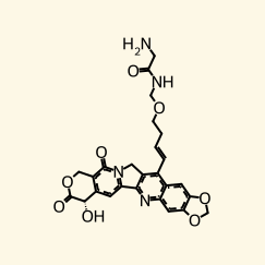 NCC(=O)NCOCC/C=C/c1c2c(nc3cc4c(cc13)OCO4)-c1cc3c(c(=O)n1C2)COC(=O)[C@H]3O